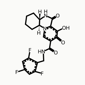 O=C(NCc1c(F)cc(F)cc1F)c1cn2c(c(O)c1=O)C(=O)N[C@H]1CCCC[C@@H]12